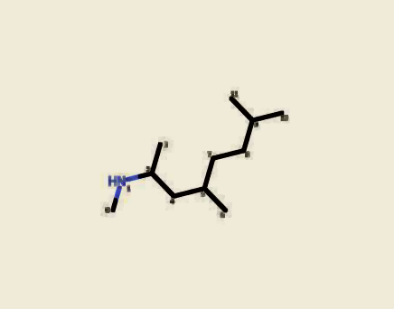 CNC(C)CC(C)CCC(C)C